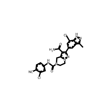 Cc1n[nH]c2c(Cl)cc(-c3nn4c(c3C(N)=O)CN(C(=O)Nc3ccc(C#N)c(Cl)c3)CC4)cc12